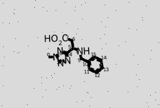 Cn1nnc(C(CC(=O)O)NCc2ccccc2)n1